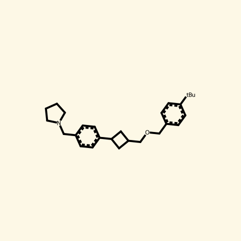 CC(C)(C)c1ccc(COCC2CC(c3ccc(CN4CCCC4)cc3)C2)cc1